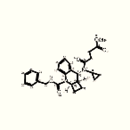 COC(=O)CCC(=O)N(C1CC1)[C@H]1c2ccccc2N(C(=O)OCc2ccccc2)[C@@H]2CC[C@@H]21